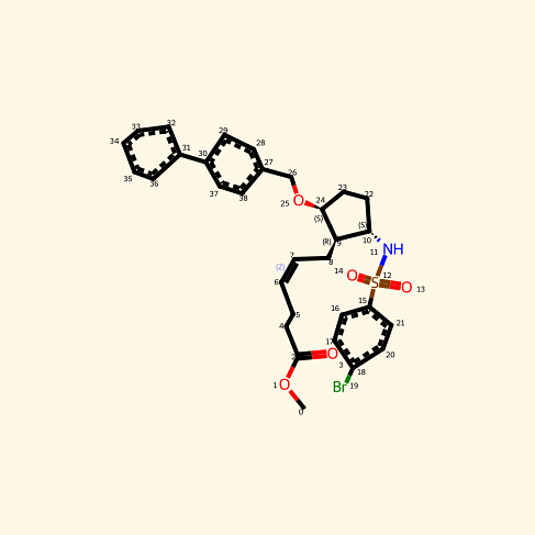 COC(=O)CC/C=C\C[C@@H]1[C@@H](NS(=O)(=O)c2ccc(Br)cc2)CC[C@@H]1OCc1ccc(-c2ccccc2)cc1